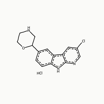 Cl.Clc1cnc2[nH]c3ccc(C4CNCCO4)cc3c2c1